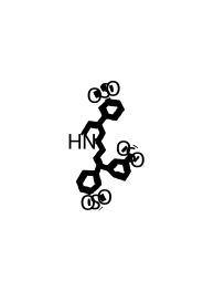 CS(=O)(=O)c1cccc(C2=CCNC(CC=C(c3cccc(S(C)(=O)=O)c3)c3cccc(S(C)(=O)=O)c3)C2)c1